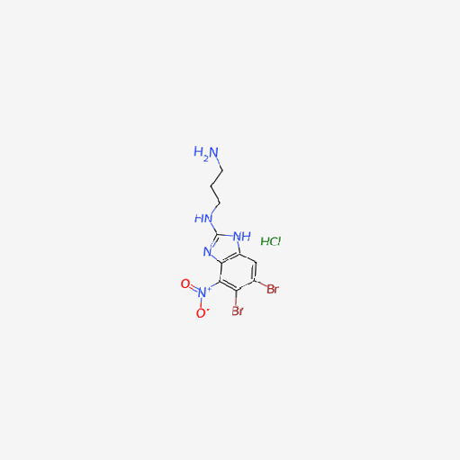 Cl.NCCCNc1nc2c([N+](=O)[O-])c(Br)c(Br)cc2[nH]1